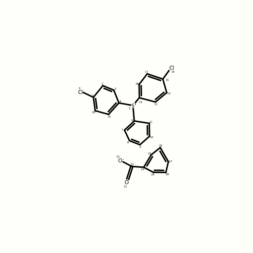 Clc1ccc([S+](c2ccccc2)c2ccc(Cl)cc2)cc1.O=C([O-])c1ccccc1